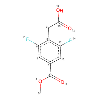 COC(=O)c1cc(F)c(CC(=O)O)c(F)c1